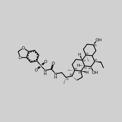 CC[C@@H]1C2C[C@H](O)CC[C@]2(C)[C@H]2CC[C@]3(C)[C@@H]([C@H](C)CNC(=O)NS(=O)(=O)c4ccc5c(c4)OCO5)CC[C@H]3[C@@H]2[C@@H]1O